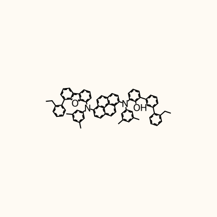 CCc1ccccc1-c1cccc(-c2cccc(N(c3cc(C)cc(C)c3)c3ccc4ccc5c(N(c6cc(C)cc(C)c6)c6cccc7c6oc6c(-c8ccccc8CC)cccc67)ccc6ccc3c4c65)c2O)c1